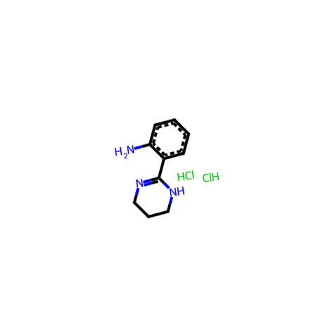 Cl.Cl.Nc1ccccc1C1=NCCCN1